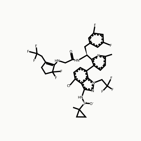 Cc1ccc(-c2ccc(Cl)c3c(N[S+]([O-])C4(C)CC4)nn(CC(F)(F)F)c23)c([C@H](Cc2cc(F)cc(F)c2)NC(=O)CNC2=C(CC(F)(F)F)CCC2(F)F)n1